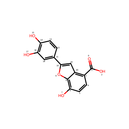 O=C(O)c1ccc(O)c2oc(-c3ccc(O)c(O)c3)cc12